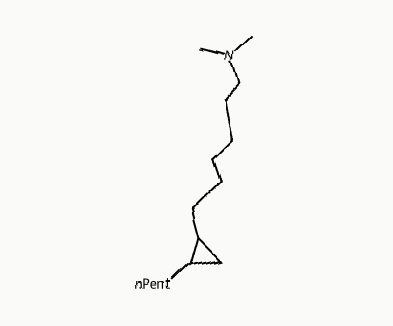 CCCCCC1CC1CCCCCCN(C)C